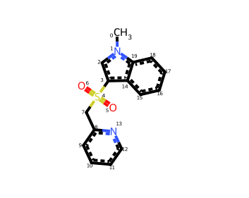 Cn1cc(S(=O)(=O)Cc2ccccn2)c2ccccc21